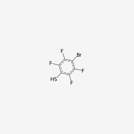 Fc1c(F)c(Br)c(F)c(F)c1S